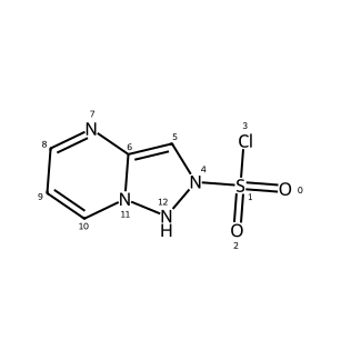 O=S(=O)(Cl)N1C=C2N=CC=CN2N1